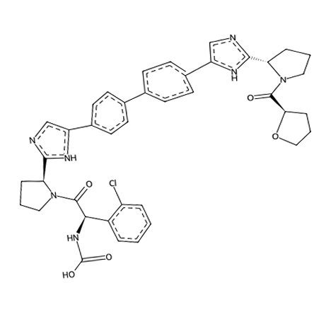 O=C(O)N[C@@H](C(=O)N1CCC[C@H]1c1ncc(-c2ccc(-c3ccc(-c4cnc([C@@H]5CCCN5C(=O)[C@H]5CCCO5)[nH]4)cc3)cc2)[nH]1)c1ccccc1Cl